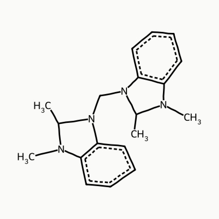 CC1N(C)c2ccccc2N1CN1c2ccccc2N(C)C1C